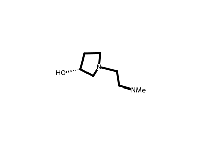 CNCCN1CC[C@@H](O)C1